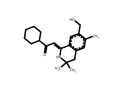 Cc1cc2c(cc1CO)C(=CC(=O)C1CCCCC1)NC(C)(C)C2